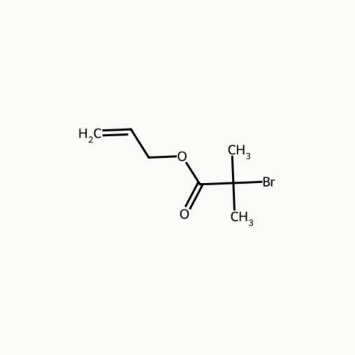 C=CCOC(=O)C(C)(C)Br